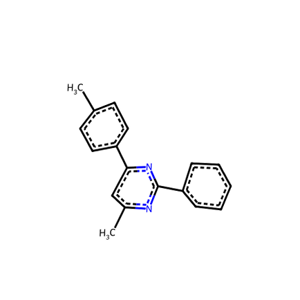 Cc1ccc(-c2cc(C)nc(-c3ccccc3)n2)cc1